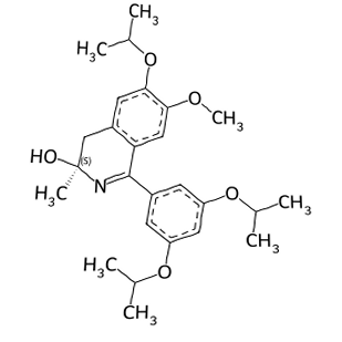 COc1cc2c(cc1OC(C)C)C[C@](C)(O)N=C2c1cc(OC(C)C)cc(OC(C)C)c1